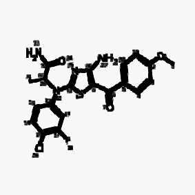 COc1ccc(C(=O)c2sc(N(c3ccc(Cl)c(F)c3)[C@@H](C)C(N)=O)nc2N)cc1